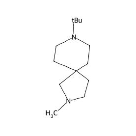 CN1CCC2(CCN(C(C)(C)C)CC2)C1